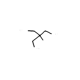 COCC(C)(COC)COC